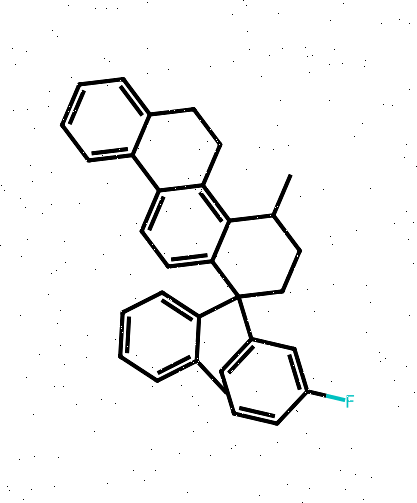 Cc1ccccc1C1(c2cccc(F)c2)CCC(C)c2c1ccc1c2CCc2ccccc2-1